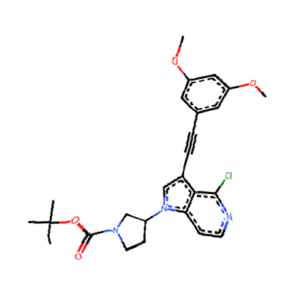 COc1cc(C#Cc2cn(C3CCN(C(=O)OC(C)(C)C)C3)c3ccnc(Cl)c23)cc(OC)c1